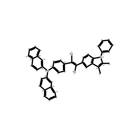 [2H]/C(=C(/[2H])c1ccc2c(c1)c(C)c(C)n2-c1ccccc1)c1ccc(N(c2ccc3ccccc3c2)c2ccc3ccccc3c2)cc1